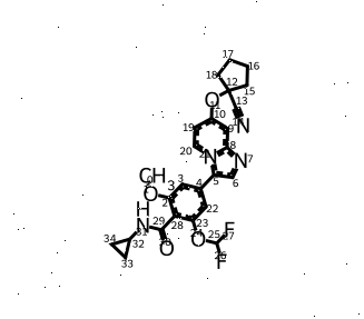 COc1cc(-c2cnc3cc(OC4(C#N)CCCC4)ccn23)cc(OC(F)F)c1C(=O)NC1CC1